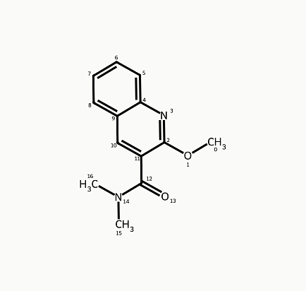 COc1nc2ccccc2cc1C(=O)N(C)C